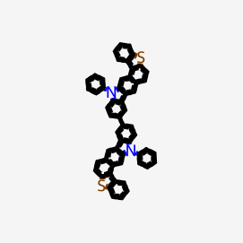 c1ccc(-n2c3ccc(-c4ccc5c(c4)c4cc6ccc7sc8ccccc8c7c6cc4n5-c4ccccc4)cc3c3cc4ccc5sc6ccccc6c5c4cc32)cc1